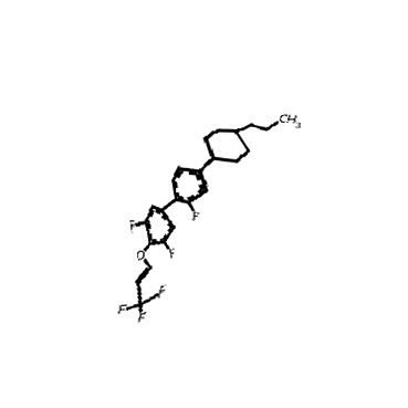 CCCC1CCC(c2ccc(-c3cc(F)c(O/C=C/C(F)(F)F)c(F)c3)c(F)c2)CC1